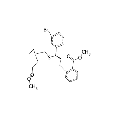 COOCCC1(CS[C@H](CCc2ccccc2C(=O)OC)c2cccc(Br)c2)CC1